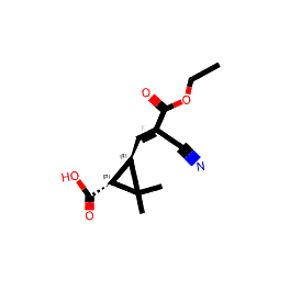 CCOC(=O)/C(C#N)=C/[C@@H]1[C@@H](C(=O)O)C1(C)C